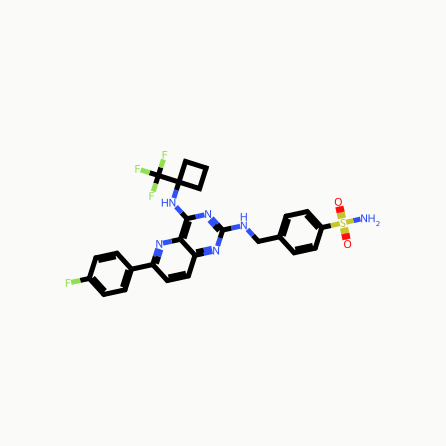 NS(=O)(=O)c1ccc(CNc2nc(NC3(C(F)(F)F)CCC3)c3nc(-c4ccc(F)cc4)ccc3n2)cc1